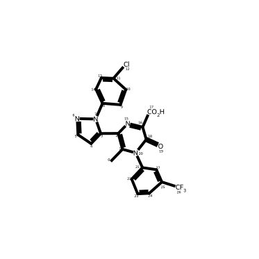 Cc1c(-c2ccnn2-c2ccc(Cl)cc2)nc(C(=O)O)c(=O)n1-c1cccc(C(F)(F)F)c1